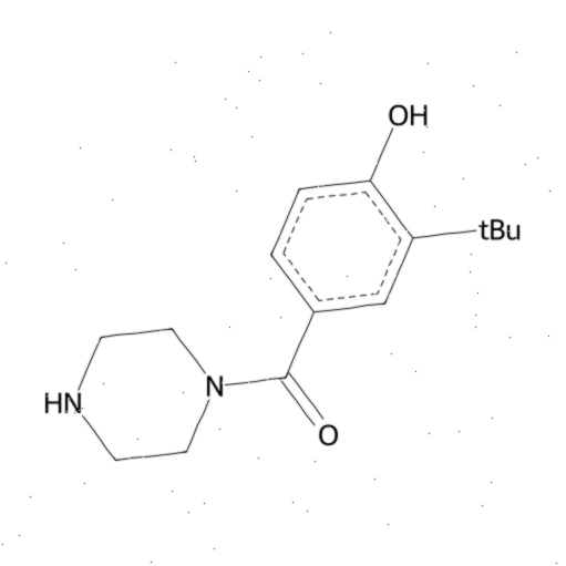 CC(C)(C)c1cc(C(=O)N2CCNCC2)ccc1O